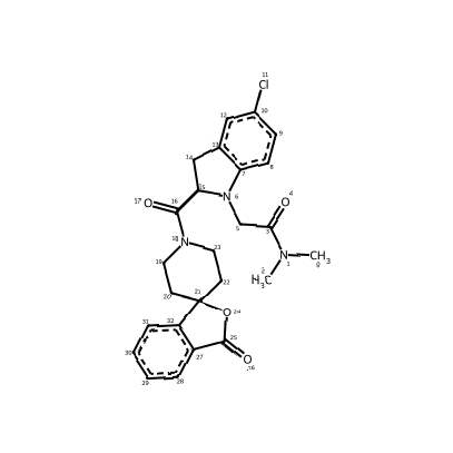 CN(C)C(=O)CN1c2ccc(Cl)cc2CC1C(=O)N1CCC2(CC1)OC(=O)c1ccccc12